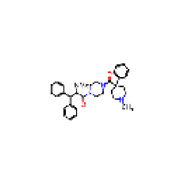 CNC(C(=O)N1CCN(C(=O)C2(c3ccccc3)CCN(C)CC2)CC1)C(c1ccccc1)c1ccccc1